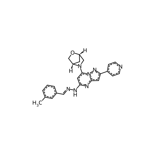 Cc1cccc(/C=N/Nc2cc(N3C[C@@H]4C[C@H]3CO4)n3nc(-c4ccncc4)cc3n2)c1